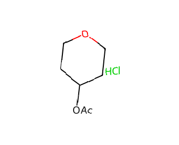 CC(=O)OC1CCOCC1.Cl